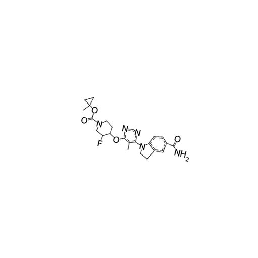 Cc1c(OC2CCN(C(=O)OC3(C)CC3)CC2F)ncnc1N1CCc2cc(C(N)=O)ccc21